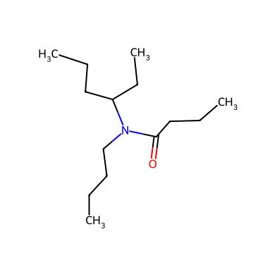 CCCCN(C(=O)CCC)C(CC)CCC